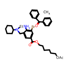 C.CCN(Cc1cc(C(=O)OCCCCCCOC(C)=O)cc(Br)c1N)C1CCCCC1.O=C(c1ccccc1)c1ccccc1